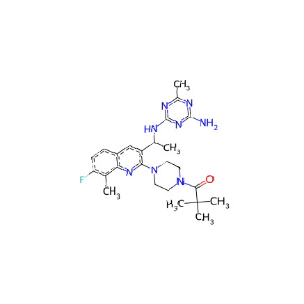 Cc1nc(N)nc(NC(C)c2cc3ccc(F)c(C)c3nc2N2CCN(C(=O)C(C)(C)C)CC2)n1